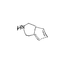 C1=CC2CNCC2=C1